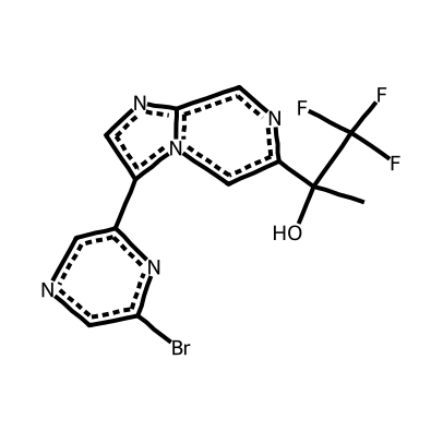 CC(O)(c1cn2c(-c3cncc(Br)n3)cnc2cn1)C(F)(F)F